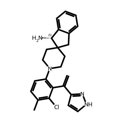 C=C(c1cc[nH]n1)c1c(N2CCC3(CC2)Cc2ccccc2[C@H]3N)ccc(C)c1Cl